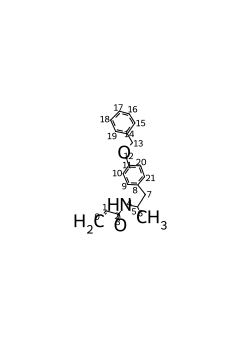 C=CC(=O)NC(C)Cc1ccc(OCc2ccccc2)cc1